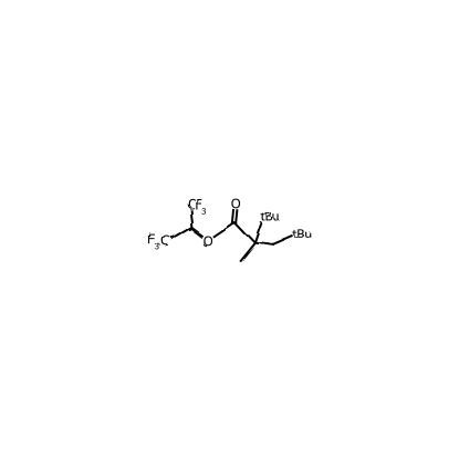 CC(C)(C)CC(C)(C(=O)OC(C(F)(F)F)C(F)(F)F)C(C)(C)C